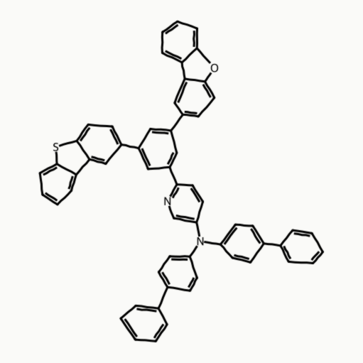 c1ccc(-c2ccc(N(c3ccc(-c4ccccc4)cc3)c3ccc(-c4cc(-c5ccc6oc7ccccc7c6c5)cc(-c5ccc6sc7ccccc7c6c5)c4)nc3)cc2)cc1